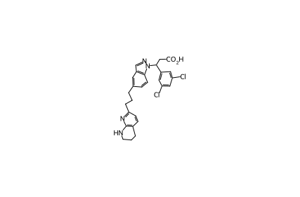 O=C(O)CC(c1cc(Cl)cc(Cl)c1)n1ncc2cc(CCCc3ccc4c(n3)NCCC4)ccc21